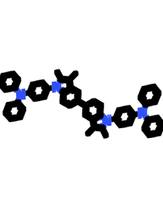 Cc1c(C)n(-c2ccc(N(c3ccccc3)c3ccccc3)cc2)c2ccc(-c3ccc4c(c3)c(C)c(C)n4-c3ccc(N(c4ccccc4)c4ccccc4)cc3)cc12